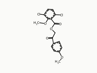 COc1ccc(C(=O)COC(=O)c2c(Cl)ccc(Cl)c2OC)cc1